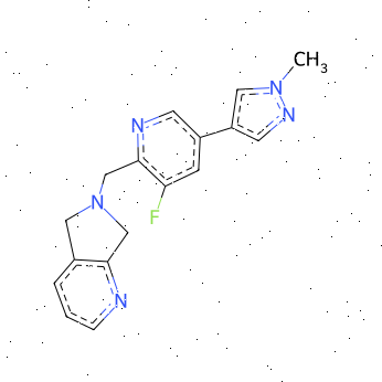 Cn1cc(-c2cnc(CN3Cc4cccnc4C3)c(F)c2)cn1